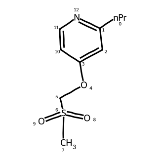 CCCc1cc(OCS(C)(=O)=O)ccn1